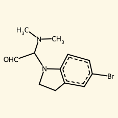 CN(C)C(C=O)N1CCc2cc(Br)ccc21